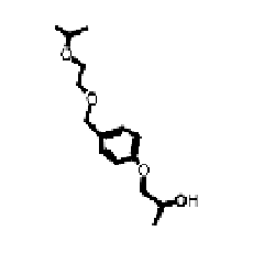 CC(O)COc1ccc(COCCOC(C)C)cc1